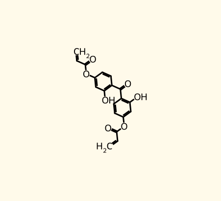 C=CC(=O)Oc1ccc(C(=O)c2ccc(OC(=O)C=C)cc2O)c(O)c1